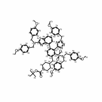 COc1ccc(CN(Cc2ccc(OC)cc2)c2nc3c(-c4ccc(CC5CCN(C(=O)OC(C)(C)C)CC5)c(S(=O)(=O)N(Cc5ccc(OC)cc5)Cc5ccc(OC)cc5)c4-c4nnn(Cc5ccc(OC)cc5)n4)cccc3s2)cc1